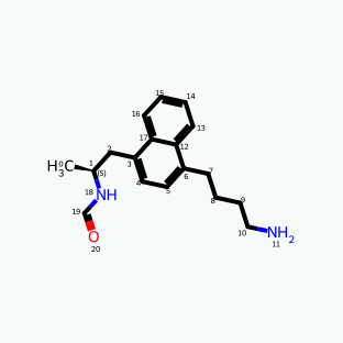 C[C@@H](Cc1ccc(CCCCN)c2ccccc12)NC=O